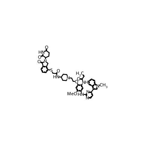 C=CC(=O)Nc1cc(Nc2nccc(-c3cn(C)c4ccccc34)n2)c(OC)cc1OCCN1CCC(NC(=O)CSc2cccc3c2CN(C2CCC(=O)NC2=O)C3=O)CC1